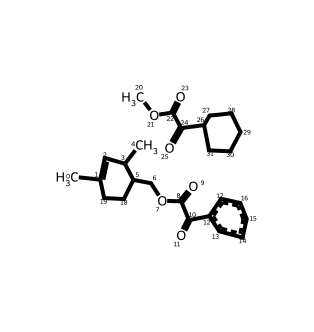 CC1=CC(C)C(COC(=O)C(=O)c2ccccc2)CC1.COC(=O)C(=O)C1CCCCC1